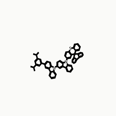 CC(C)c1cc(-c2ccc3c(c2)c2ccccc2n3-c2ccc3c(c2)c2ccccc2n3-c2ccc3c(c2)C2(c4ccccc4S3)c3ccccc3-c3ccccc32)cc(C(C)C)c1